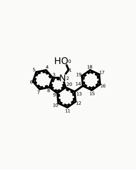 OCn1c2ccccc2c2cccc(-c3ccccc3)c21